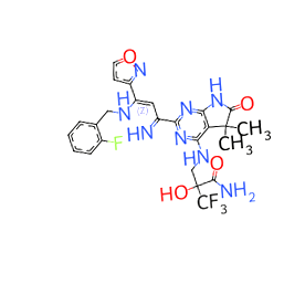 CC1(C)C(=O)Nc2nc(C(=N)/C=C(\NCc3ccccc3F)c3ccon3)nc(NCC(O)(C(N)=O)C(F)(F)F)c21